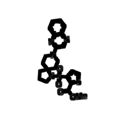 COC(=O)c1sccc1S(=O)(=O)N1CCCC12CCN(c1cnc3ccccc3n1)CC2